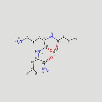 CCCC(=O)NC(CCCN)C(=O)NC(CC(C)C)C(N)=O